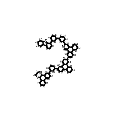 c1cc(-c2ccc3c4ccccc4c4cc(-c5ccc6c7ccccc7c7cc(-c8cccc(-c9cccc(-c%10cccc%11c%10sc%10ccccc%10%11)c9)c8)ncc7c6c5)ccc4c3c2)cc(-c2ccc3c4ccccc4c4nccnc4c3c2)c1